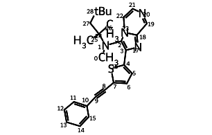 CN(c1c(-c2ccc(C#Cc3ccccc3)s2)nc2cnccn12)C(C)(C)CC(C)(C)C